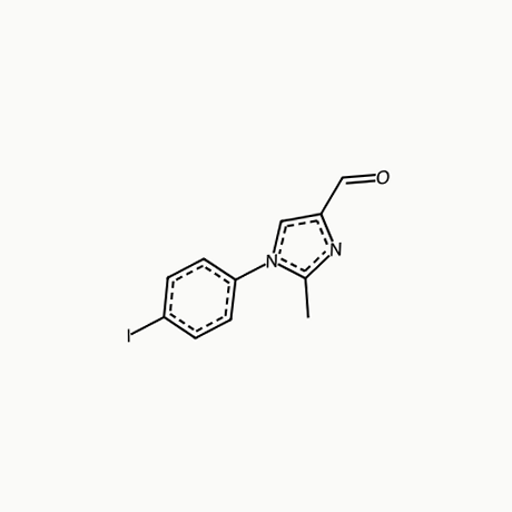 Cc1nc(C=O)cn1-c1ccc(I)cc1